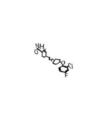 NC(=O)C1CCC(CCN2CCC(Oc3ccc(F)cc3Cl)CC2)CC1